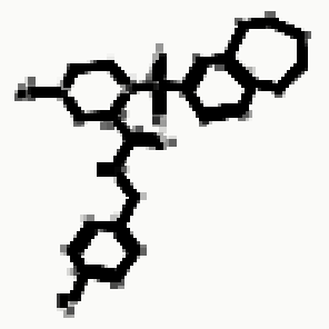 CC(=O)N1CCN(S(=O)(=O)c2ccc3c(c2)CCCCC3)[C@@H](C(=O)NCc2ccc(C(C)C)cc2)C1